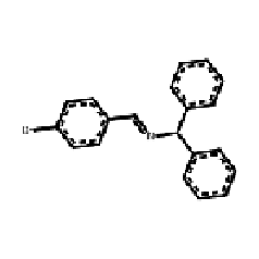 Brc1ccc(/C=N/C(c2ccccc2)c2ccccc2)cc1